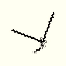 CCCCCCCCCCCCCCCCCC(=O)C(C)(OS(=O)(=O)OCCCO)C(=O)CCCCCCCCCCCCCCCCC